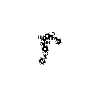 O=C(NCc1cccs1)c1ccc2[nH]nc(NC(=O)c3ccc(OCCN4CCOCC4)cc3)c2c1